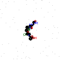 COc1nc(-c2cccc(-c3cccc(Oc4cc(Cl)cc5c4ccn5CCC4CCCCC4C(=O)O)c3Cl)c2Cl)ccc1CNCC1CCC(=O)N1